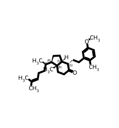 COc1ccc(C)c(CC[C@@H]2C(=O)CC[C@]3(C)[C@@H]([C@H](C)CCC=C(C)C)CC[C@@H]23)c1